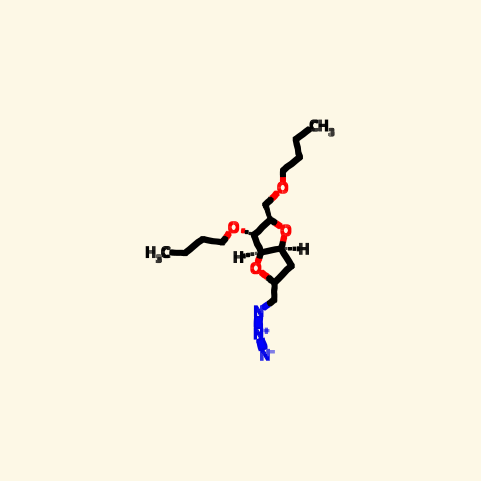 CCCCOC[C@H]1O[C@H]2CC(CN=[N+]=[N-])O[C@H]2[C@@H]1OCCCC